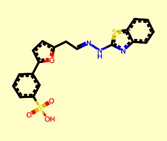 O=S(=O)(O)c1cccc(-c2ccc(CC=NNc3nc4ccccc4s3)o2)c1